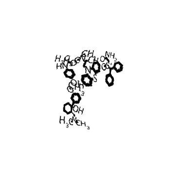 CC(=O)Nc1ccc(O)cc1.CC(CN1c2ccccc2Sc2ccccc21)N(C)C.COc1cccc([C@@]2(O)CCCC[C@@H]2CN(C)C)c1.NC(=O)C[S+]([O-])C(c1ccccc1)c1ccccc1